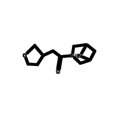 O=C(CC1CCOC1)N1CC2CC(C1)N2